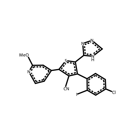 COc1cc(-c2sc(-c3nnc[nH]3)c(-c3ccc(Cl)cc3I)c2C#N)ccn1